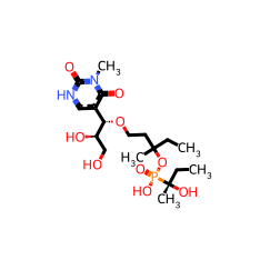 CCC(C)(CCO[C@@H](c1c[nH]c(=O)n(C)c1=O)[C@H](O)CO)OP(=O)(O)[C@@](C)(O)CC